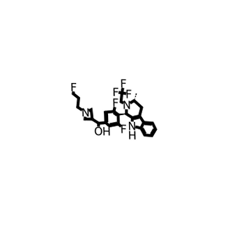 C[C@@H]1Cc2c([nH]c3ccccc23)[C@@H](c2c(F)cc(C(O)C3CN(CCCF)C3)cc2F)N1CC(F)(F)F